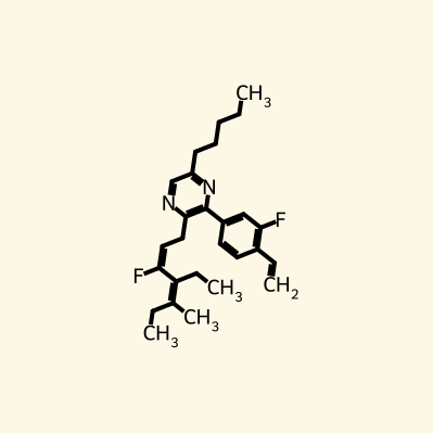 C=Cc1ccc(-c2nc(CCCCC)cnc2C/C=C(F)\C(CC)=C(\C)CC)cc1F